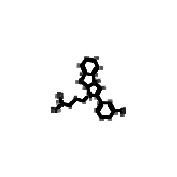 CCN(CC)CCCN1C(c2cccc(Cl)c2)=CN2c3ccccc3SC12